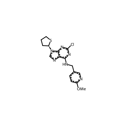 COc1ccc(CNc2nc(Cl)nc3c2ncn3[C@H]2CCCS2)cn1